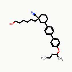 CCCC(C)Oc1ccc(-c2ccc(C3CCCC(C#N)(CCCCCCO)C3)cc2)cc1